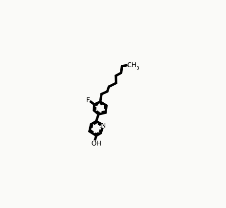 CCCCCCCCc1ccc(-c2ccc(O)cn2)cc1F